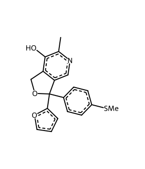 CSc1ccc(C2(c3ccco3)OCc3c2cnc(C)c3O)cc1